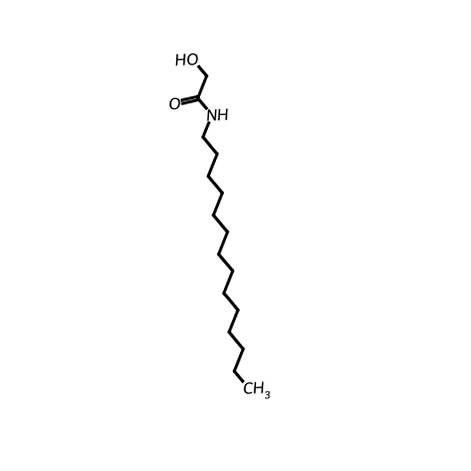 CCCCCCCCCCCCCCNC(=O)CO